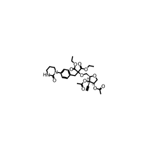 C#C[C@]1(OC(C)=O)[C@@H](OC(C)=O)CO[C@@H]1COC(Cc1ccc(N2CCCNC2=O)cc1)(C(=O)OCC)C(=O)OCC